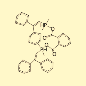 C[PH](C)(C=C(c1ccccc1)c1ccccc1)OC(=O)c1ccccc1C(=O)O[PH](C)(C)C=C(c1ccccc1)c1ccccc1